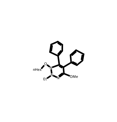 CCCCCCON1C(c2ccccc2)=C(c2ccccc2)C(OC)=NN1CC